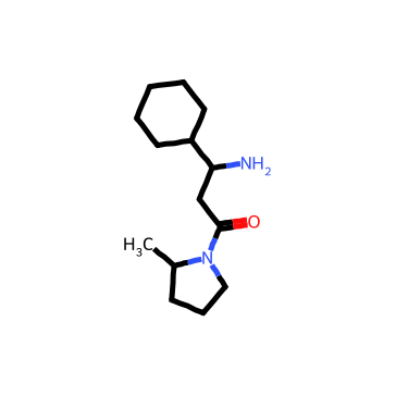 CC1CCCN1C(=O)CC(N)C1CCCCC1